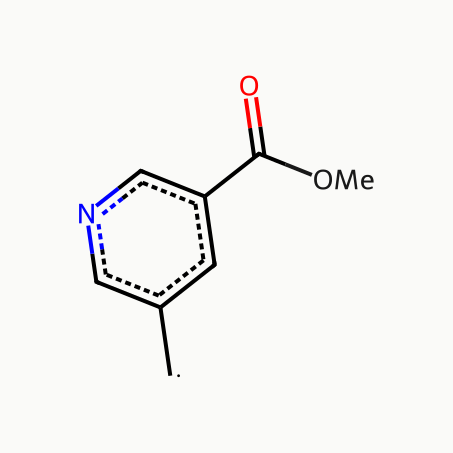 [CH2]c1cncc(C(=O)OC)c1